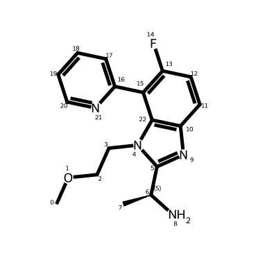 COCCn1c([C@H](C)N)nc2ccc(F)c(-c3ccccn3)c21